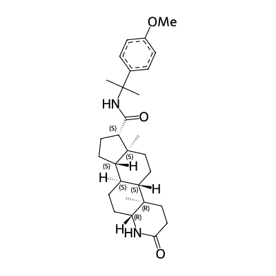 COc1ccc(C(C)(C)NC(=O)[C@H]2CC[C@H]3[C@@H]4CC[C@H]5NC(=O)CC[C@]5(C)[C@H]4CC[C@]23C)cc1